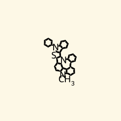 Cn1c2cccc3c4ccccc4n4c5c(ccc1c5c32)c1sc2c(c3ccccc3n2-c2ccccc2)c14